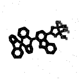 CC1(C)OB(c2ccc(N3c4ccccc4C4(c5ccccc5-c5ccccc54)c4ccccc43)c3oc4ccccc4c23)OC1(C)C